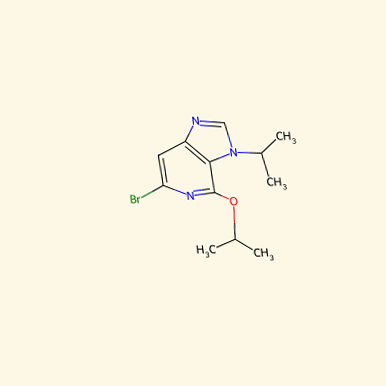 CC(C)Oc1nc(Br)cc2ncn(C(C)C)c12